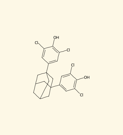 Oc1c(Cl)cc(C23CC4CC(C2)CC(c2cc(Cl)c(O)c(Cl)c2)(C4)C3)cc1Cl